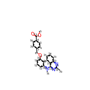 COC(=O)c1ccc(COc2cccc(N(C)c3nc(C)nc4ccccc34)c2)cc1